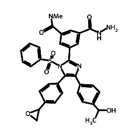 CNC(=O)c1cc(C(=O)NN)cc(-c2nc(-c3ccc(C(C)O)cc3)c(-c3ccc(C4CO4)cc3)n2S(=O)(=O)c2ccccc2)c1